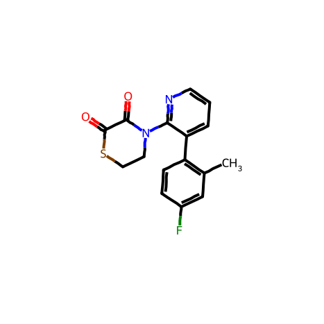 Cc1cc(F)ccc1-c1cccnc1N1CCSC(=O)C1=O